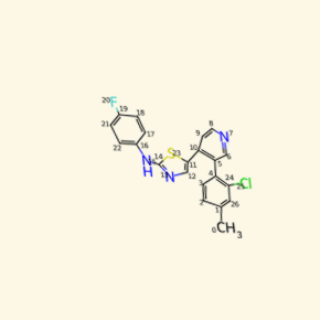 Cc1ccc(-c2cnccc2-c2cnc(Nc3ccc(F)cc3)s2)c(Cl)c1